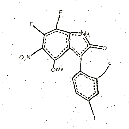 COc1c([N+](=O)[O-])c(F)c(F)c2[nH]c(=O)n(-c3ccc(I)cc3F)c12